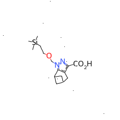 C[Si](C)(C)CCOCn1nc(C(=O)O)c2c1C1CC(C2)C1